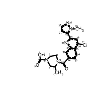 CC1CN(C(=O)O)CCN1C(=O)c1ccc2c(Cl)cc(-c3ccnn3C)nc2c1